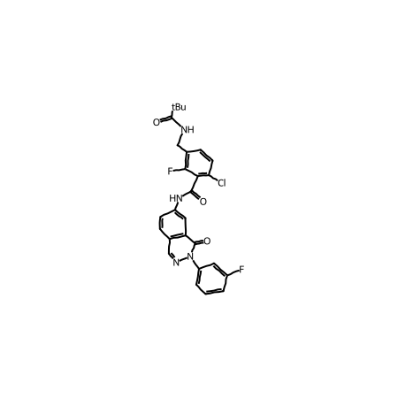 CC(C)(C)C(=O)NCc1ccc(Cl)c(C(=O)Nc2ccc3cnn(-c4cccc(F)c4)c(=O)c3c2)c1F